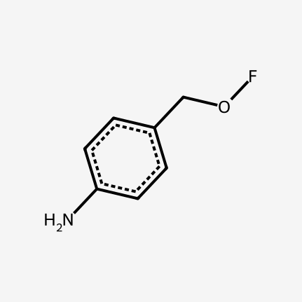 Nc1ccc(COF)cc1